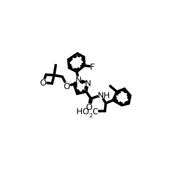 Cc1ccccc1C(CC(=O)O)NC(=O)c1cc(OCC2(C)COC2)n(-c2ccccc2F)n1